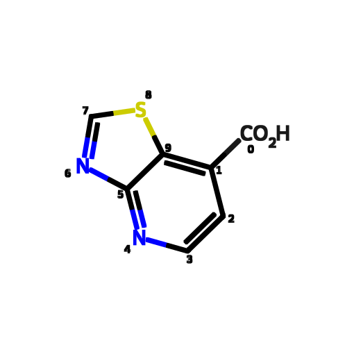 O=C(O)c1ccnc2ncsc12